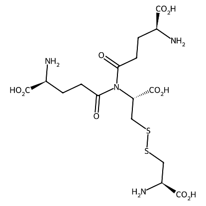 N[C@@H](CCC(=O)N(C(=O)CC[C@H](N)C(=O)O)[C@@H](CSSC[C@H](N)C(=O)O)C(=O)O)C(=O)O